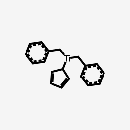 C1=C[CH]([Ti]([CH2]c2ccccc2)[CH2]c2ccccc2)C=C1